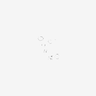 O=S(=O)(c1ccccc1)N(C1CC1)C1CCN(CCOC(c2ccc(F)cc2)c2ccc(F)cc2)CC1